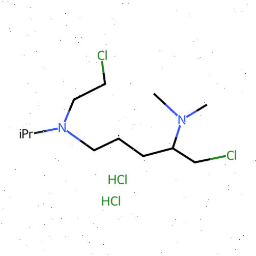 CC(C)N(C[CH]CC(CCl)N(C)C)CCCl.Cl.Cl